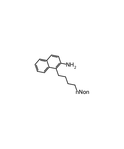 CCCCCCCCCCCCCc1c(N)ccc2ccccc12